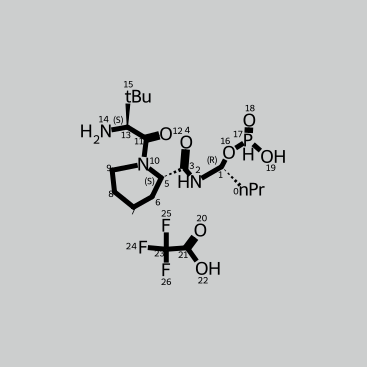 CCC[C@H](NC(=O)[C@@H]1CCCCN1C(=O)[C@@H](N)C(C)(C)C)O[PH](=O)O.O=C(O)C(F)(F)F